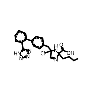 CCCCC1(C(=O)O)N=CC(Cl)(Cc2ccc(-c3ccccc3-c3nnn[nH]3)cc2)N1